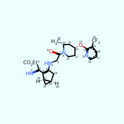 CCOC(=O)C(=N)C1=C(NCC(=O)N2CC[C@@H](Oc3ncccc3C(F)(F)F)C[C@H]2C)C[C@H]2C[C@@H]12